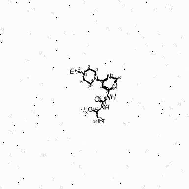 CCN1CCN(c2cc(NC(=O)NC(C)C(C)C)ncn2)CC1